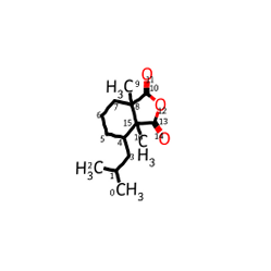 CC(C)CC1CCCC2(C)C(=O)OC(=O)C12C